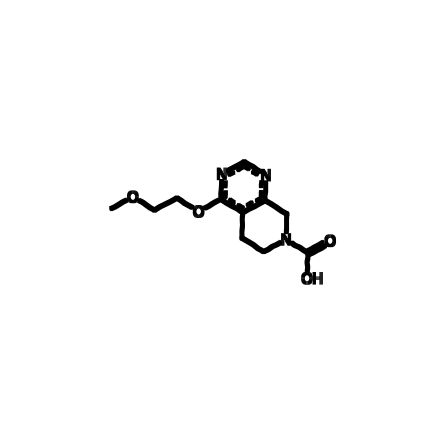 COCCOc1ncnc2c1CCN(C(=O)O)C2